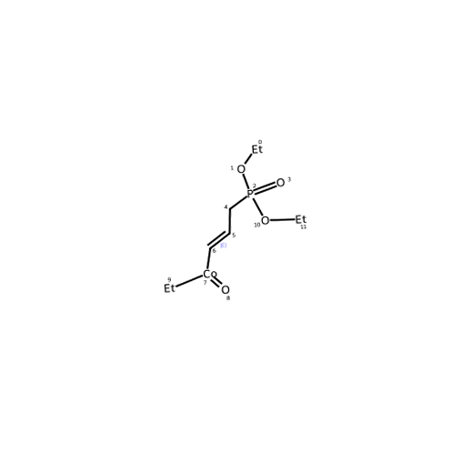 CCOP(=O)(C/C=[CH]/[Co](=[O])[CH2]C)OCC